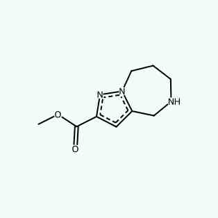 COC(=O)c1cc2n(n1)CCCNC2